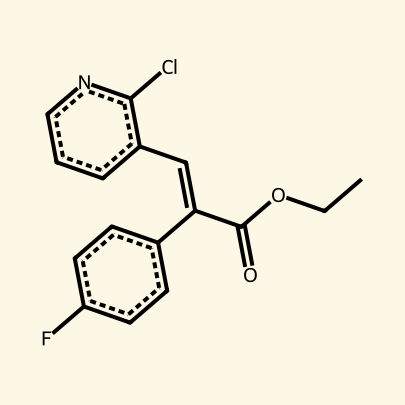 CCOC(=O)/C(=C/c1cccnc1Cl)c1ccc(F)cc1